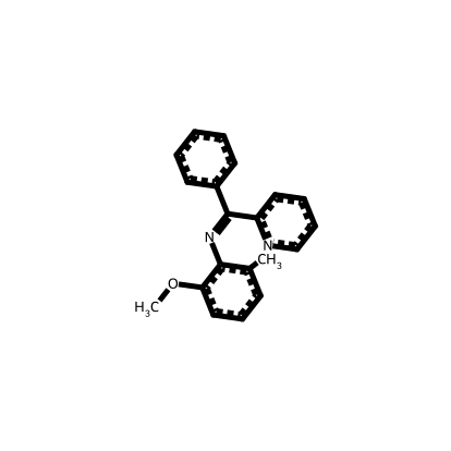 COc1cccc(C)c1N=C(c1ccccc1)c1ccccn1